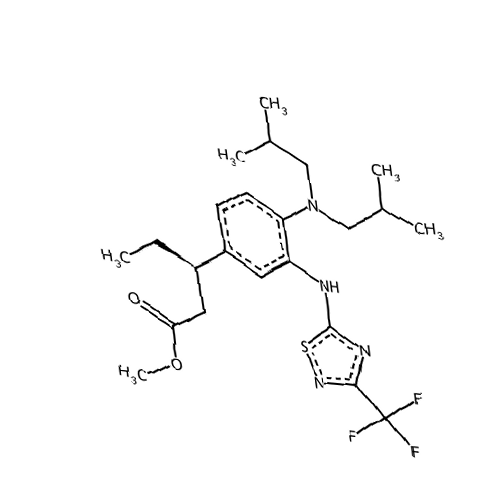 CC[C@H](CC(=O)OC)c1ccc(N(CC(C)C)CC(C)C)c(Nc2nc(C(F)(F)F)ns2)c1